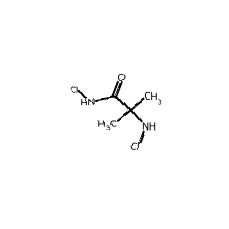 CC(C)(NCl)C(=O)NCl